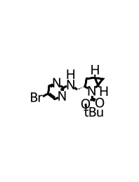 CC(C)(C)OC(=O)N1[C@H](CNc2ncc(Br)cn2)C[C@@H]2C[C@@H]21